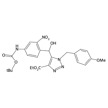 CCOC(=O)c1nnn(Cc2ccc(OC)cc2)c1C(O)c1ccc(NC(=O)OC(C)(C)C)cc1[N+](=O)[O-]